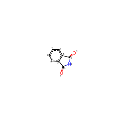 O=C1[N]C(=O)c2cc[c][c]c21